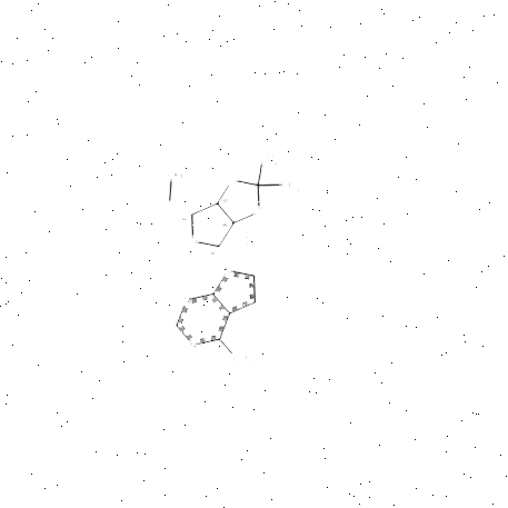 Cc1ncnc2c1ccn2[C@@H]1O[C@H](CO)[C@@]2(C)OC(C)(C)O[C@@H]12